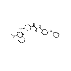 CN(C)c1nc(NC2CCC(NC(=O)Nc3cccc(Oc4ccccc4)c3)CC2)nc2c1CCCC2